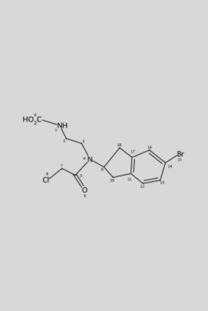 O=C(O)NCCN(C(=O)CCl)C1Cc2ccc(Br)cc2C1